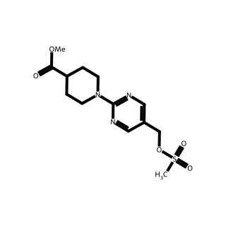 COC(=O)C1CCN(c2ncc(COS(C)(=O)=O)cn2)CC1